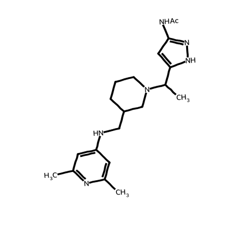 CC(=O)Nc1cc(C(C)N2CCCC(CNc3cc(C)nc(C)c3)C2)[nH]n1